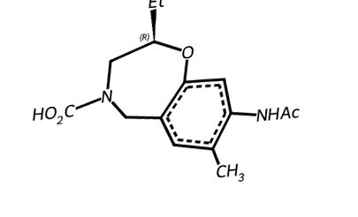 CC[C@@H]1CN(C(=O)O)Cc2cc(C)c(NC(C)=O)cc2O1